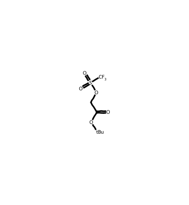 CC(C)(C)OC(=O)COS(=O)(=O)C(F)(F)F